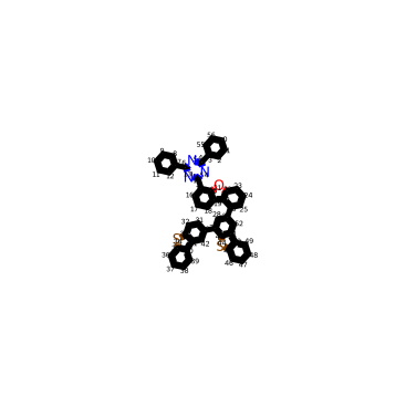 c1ccc(-c2nc(-c3ccccc3)nc(-c3cccc4c3oc3cccc(-c5cc(-c6ccc7sc8ccccc8c7c6)c6sc7ccccc7c6c5)c34)n2)cc1